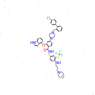 O=C(NSc1ccc(NCCCN2CCOCC2)c(SC(F)(F)F)c1)c1ccc(N2CCN(Cc3ccccc3-c3ccc(Cl)cc3)CC2)cc1Oc1cccc2[nH]ccc12